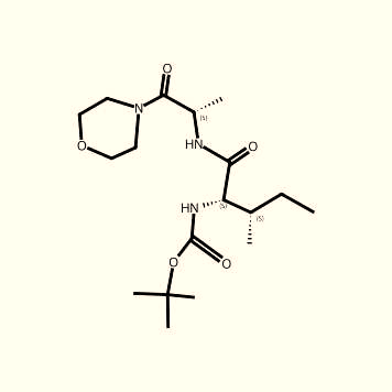 CC[C@H](C)[C@H](NC(=O)OC(C)(C)C)C(=O)N[C@@H](C)C(=O)N1CCOCC1